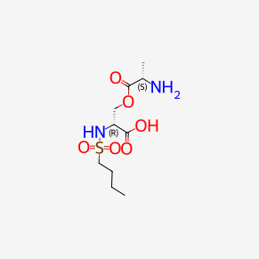 CCCCS(=O)(=O)N[C@H](COC(=O)[C@H](C)N)C(=O)O